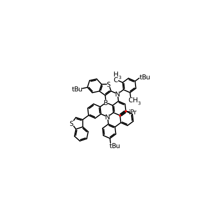 Cc1cc(C(C)(C)C)cc(C)c1N1c2cc(C(C)C)cc3c2B(c2ccc(-c4csc5ccccc45)cc2N3c2ccc(C(C)(C)C)cc2-c2ccccc2)c2c1sc1ccc(C(C)(C)C)cc21